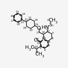 CSNC1CCc2ccc(C(C)C)c(=O)n2C1COC1CCC(c2ccccc2)CC1